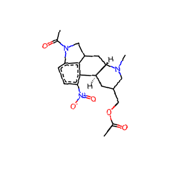 CC(=O)OCC1C[C@H]2c3c([N+](=O)[O-])ccc4c3C(C[C@@H]2N(C)C1)CN4C(C)=O